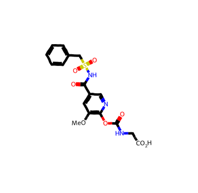 COc1cc(C(=O)NS(=O)(=O)Cc2ccccc2)cnc1OC(=O)NCC(=O)O